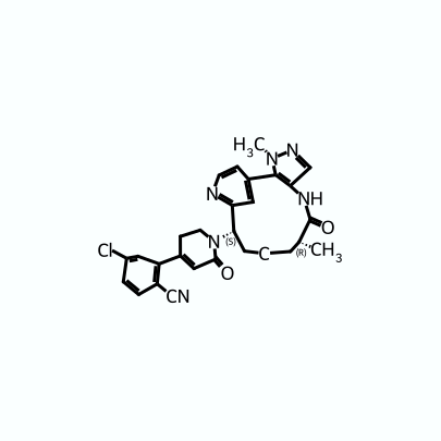 C[C@@H]1CCC[C@H](N2CCC(c3cc(Cl)ccc3C#N)=CC2=O)c2cc(ccn2)-c2c(cnn2C)NC1=O